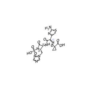 Nc1nc(/C(=N/OC2(C(=O)O)CC2)C(=O)N[C@@H]2C(=O)N(S(=O)(=O)O)[C@@H]2Cn2cncn2)cs1